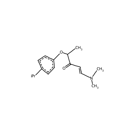 CC(Oc1ccc(C(C)C)cc1)C(=O)/C=C/N(C)C